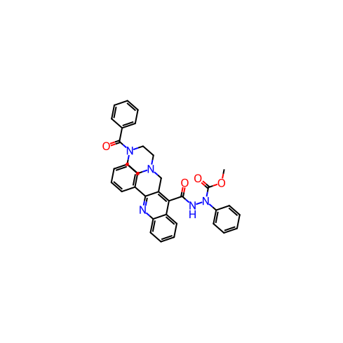 COC(=O)N(NC(=O)c1c(CN2CCN(C(=O)c3ccccc3)CC2)c(-c2ccccc2)nc2ccccc12)c1ccccc1